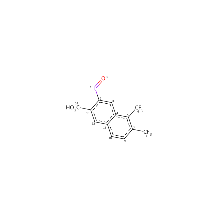 O=Ic1cc2c(C(F)(F)F)c(C(F)(F)F)ccc2cc1C(=O)O